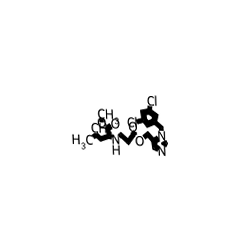 COC(=O)C(CC(C)C)NCCC(=O)OCc1cncn1Cc1cc(Cl)cc(Cl)c1